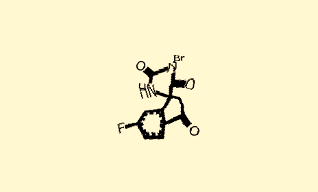 O=C1CC2(NC(=O)N(Br)C2=O)c2cc(F)ccc21